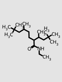 CCNC(=O)C(CCC(C)CC(C)(C)C)C(C)CC(C)(C)C